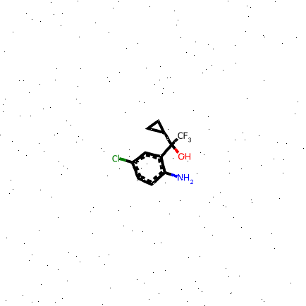 Nc1ccc(Cl)cc1C(O)(C1CC1)C(F)(F)F